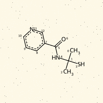 CC(C)(S)NC(=O)c1cccnc1